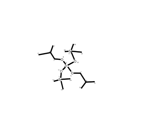 CC(C)C[O][Zr]([O]CC(C)C)([O][Si](C)(C)C)[O][Si](C)(C)C